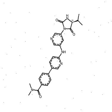 CC(C)[C@@H]1NC(=O)N(c2cncc(Nc3ccc(-c4ccc(C(=O)N(C)C)cc4)cn3)c2)C1=O